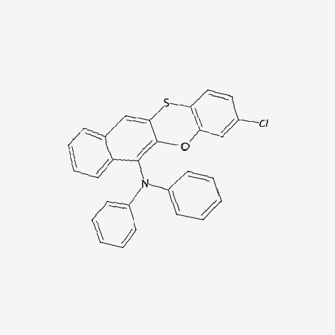 Clc1ccc2c(c1)Oc1c(cc3ccccc3c1N(c1ccccc1)c1ccccc1)S2